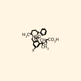 C[C@H]1CC[C@H](c2ccccc2)S(=O)(=O)N1Cc1cc(F)cc(C(C)(C)OCC(=O)O)c1F